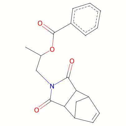 CC(CN1C(=O)C2C3C=CC(C3)C2C1=O)OC(=O)c1ccccc1